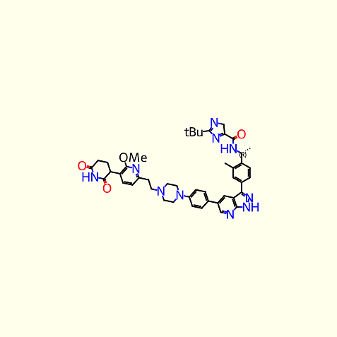 COc1nc(CCN2CCN(c3ccc(-c4cnc5[nH]nc(-c6ccc([C@@H](C)NC(=O)C7=NC(C(C)(C)C)=NC7)c(C)c6)c5c4)cc3)CC2)ccc1C1CCC(=O)NC1=O